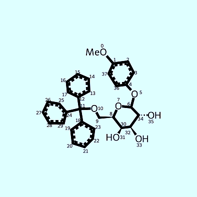 COc1ccc(OC2O[C@H](COC(c3ccccc3)(c3ccccc3)c3ccccc3)[C@H](O)[C@H](O)[C@H]2O)cc1